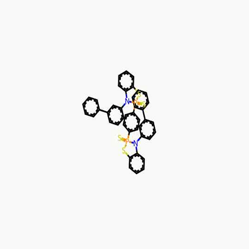 S=P1(c2ccc(P3(=S)Sc4ccccc4N3c3cccc(-c4ccccc4)c3)cc2)Sc2ccccc2N1c1cccc(-c2ccccc2)c1